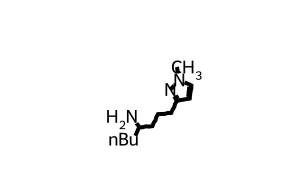 CCCCC(N)CCCc1ccn(C)n1